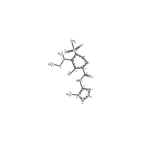 CON(C)c1c(S(C)(=O)=O)ccc(C(=O)Nc2nnnn2C)c1Cl